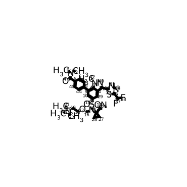 CN(C)C(=O)c1ccc(-c2cc(S(=O)(=O)N(COCC[Si](C)(C)C)C3(C#N)CC3)cc3c(-c4nnc(C(F)F)s4)nn(C)c23)cc1